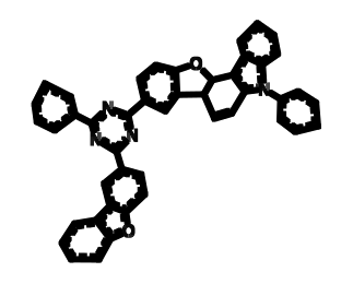 C1=CC2c3cc(-c4nc(-c5ccccc5)nc(-c5ccc6oc7ccccc7c6c5)n4)ccc3OC2c2c1n(-c1ccccc1)c1ccccc21